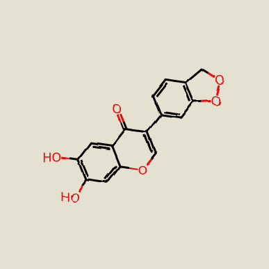 O=c1c(-c2ccc3c(c2)OOC3)coc2cc(O)c(O)cc12